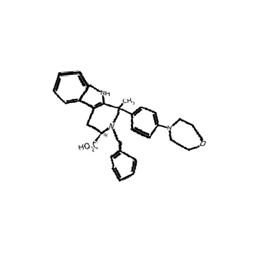 CC1(c2ccc(N3CCOCC3)cc2)c2[nH]c3ccccc3c2C[C@H](C(=O)O)N1Cc1ccccc1